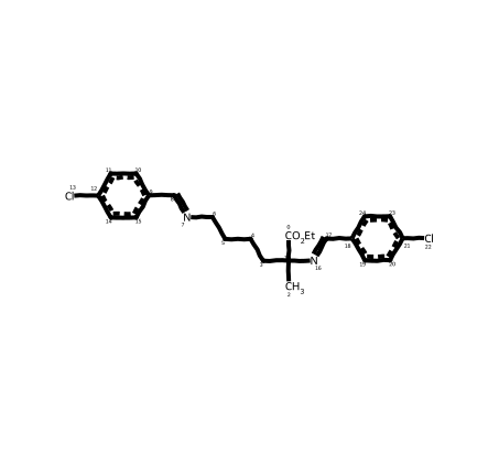 CCOC(=O)C(C)(CCCCN=Cc1ccc(Cl)cc1)N=Cc1ccc(Cl)cc1